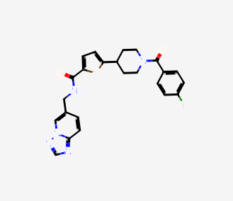 O=C(NCc1ccc2ncnn2c1)c1ccc(C2CCN(C(=O)c3ccc(F)cc3)CC2)s1